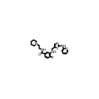 O=C(NCCN1CCCCC1)c1ccc(F)c(NCc2cnc(Nc3ccccn3)s2)c1